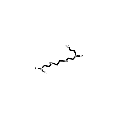 CCCN(CCN)CCNCCNCCN(C)CC